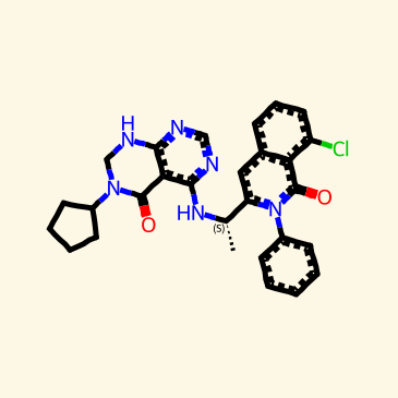 C[C@H](Nc1ncnc2c1C(=O)N(C1CCCC1)CN2)c1cc2cccc(Cl)c2c(=O)n1-c1ccccc1